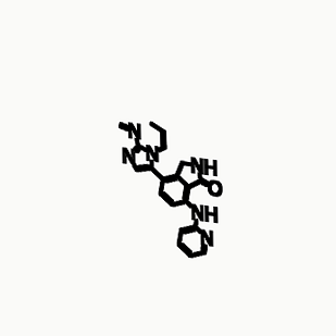 C=Nc1ncc(-c2ccc(Nc3ccccn3)c3c2CNC3=O)n1/C=C\C